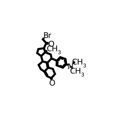 CN(C)c1ccc(C2CC3(C)C(C(=O)CBr)CCC3C3CCC4=CC(=O)CCC4=C23)cc1